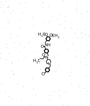 CCCC(=O)N(Cc1ccc(C(=O)NCc2ccc(OC)c(OC)c2)cc1)C1CCN(Cc2ccc(Cl)cc2)CC1